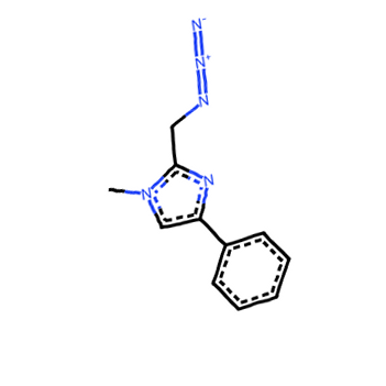 Cn1cc(-c2ccccc2)nc1CN=[N+]=[N-]